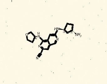 N#Cc1cc2cnc(N[C@H]3CC[C@H](N)C3)cc2c(N[C@@H]2CCOC2)n1